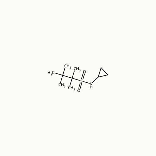 CC(C)(C)C(C)(C)S(=O)(=O)NC1CC1